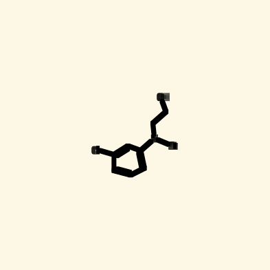 CCN(CCO)c1cccc(Cl)c1